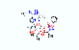 C=Nn1c(/C(N)=N\C)ccc1[C@]1(C)OC(CO[P@@](=O)(N[C@@H](C)C(=O)OCC(CC)CC)Oc2ccccc2)[C@@H](O)[C@H]1O